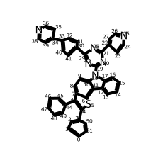 c1ccc(-c2sc3c(ccc4c3c3ccccc3n4-c3nc(-c4ccncc4)nc(-c4ccc(-c5ccncc5)cc4)n3)c2-c2ccccc2)cc1